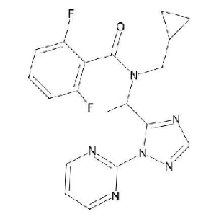 CC(c1ncnn1-c1ncccn1)N(CC1CC1)C(=O)c1c(F)cccc1F